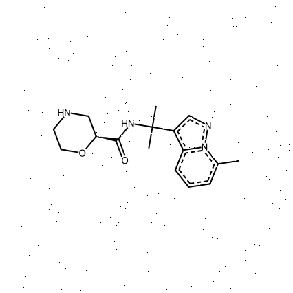 Cc1cccc2c(C(C)(C)NC(=O)[C@@H]3CNCCO3)cnn12